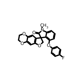 CN1C(=O)C2(COc3cc4c(cc32)OCCO4)c2c(Oc3ccc(F)cc3)cccc21